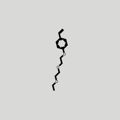 C=Cc1ccc(OCCOCCOCC)cc1